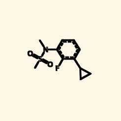 CN(c1cccc(C2CC2)c1F)S(C)(=O)=O